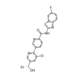 CC[C@@H](O)c1cnc(-c2ccc(C(=O)Nc3nc4ccc(F)cc4s3)nc2)c(Cl)c1